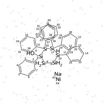 O[Si]1(c2ccccc2)[SiH2][SiH2][SiH](c2ccccc2)[Si](c2ccccc2)(c2ccccc2)[Si]1(c1ccccc1)c1ccccc1.[Na].[Ni]